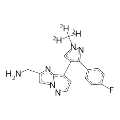 [2H]C([2H])([2H])n1cc(-c2ccnn3cc(CN)nc23)c(-c2ccc(F)cc2)n1